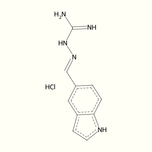 Cl.N=C(N)N/N=C/c1ccc2[nH]ccc2c1